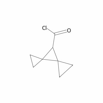 O=C(Cl)C1C2(CC2)C12CC2